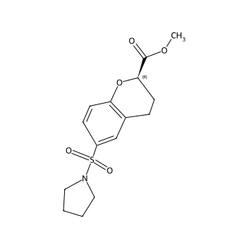 COC(=O)[C@H]1CCc2cc(S(=O)(=O)N3CCCC3)ccc2O1